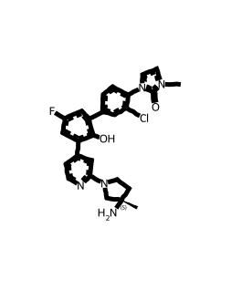 Cn1ccn(-c2ccc(-c3cc(F)cc(-c4ccnc(N5CC[C@](C)(N)C5)c4)c3O)cc2Cl)c1=O